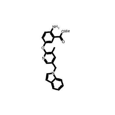 COC(=O)c1cc(Oc2ncc(Cn3ccc4ccccc43)cc2C)ccc1N